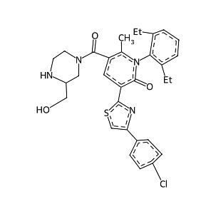 CCc1cccc(CC)c1-n1c(C)c(C(=O)N2CCNC(CO)C2)cc(-c2nc(-c3ccc(Cl)cc3)cs2)c1=O